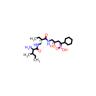 CCC(C)C(N)C(=O)NC[C@H](CC)C(=O)NC[C@H](O)CC(C1CCCCC1)[PH](=O)O